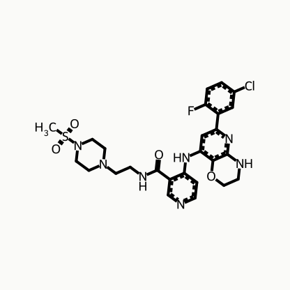 CS(=O)(=O)N1CCN(CCNC(=O)c2cnccc2Nc2cc(-c3cc(Cl)ccc3F)nc3c2OCCN3)CC1